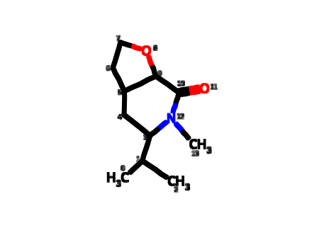 CC(C)C1CC2CCOC2C(=O)N1C